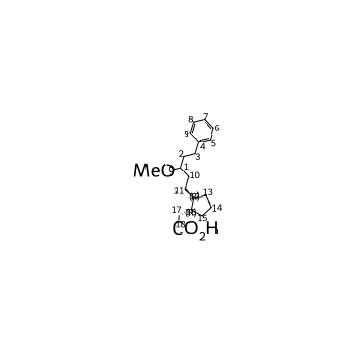 COC(CCc1ccccc1)CC[C@H]1CCC[C@@H]1CC(=O)O